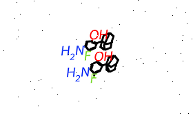 Nc1cc(O)c(C23CC4CC(CC(C4)C2)C3)cc1F.Nc1cc(O)c(C23CC4CC(CC(C4)C2)C3)cc1F